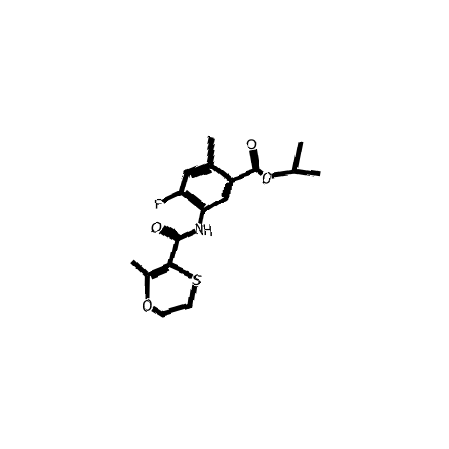 CC1=C(C(=O)Nc2cc(C(=O)OC(C)C)c(C)cc2F)SCCO1